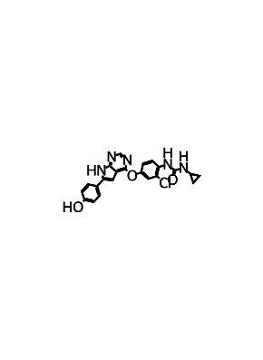 O=C(Nc1ccc(Oc2ncnc3[nH]c(-c4ccc(O)cc4)cc23)cc1Cl)NC1CC1